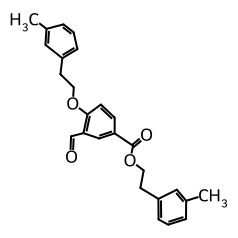 Cc1cccc(CCOC(=O)c2ccc(OCCc3cccc(C)c3)c(C=O)c2)c1